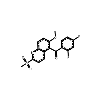 COc1ccc2nc(S(C)(=O)=O)ccc2c1C(=O)c1ccc(F)cc1F